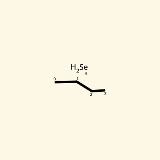 CCCC.[SeH2]